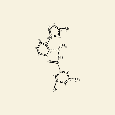 CC(NC(=O)c1cc(C#N)cc(C(F)(F)F)c1)c1nccnc1-n1cc(C#N)cn1